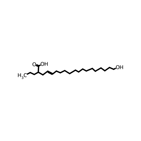 CCCC(CC=CCCCCCCCCCCCCCCO)C(=O)O